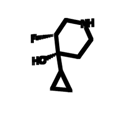 O[C@@]1(C2CC2)CCNC[C@H]1F